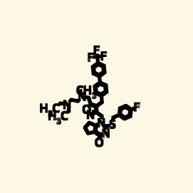 CCN(CC)CCN(C)Cc1onc(Cn2c(SCc3ccc(F)cc3)nc(=O)c3c2CCC3)c1Cc1ccc(-c2ccc(C(F)(F)F)cc2)cc1